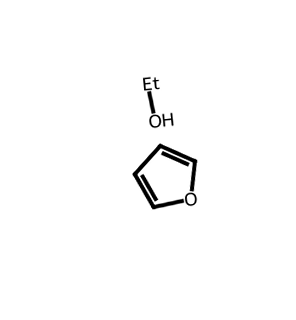 CCO.c1ccoc1